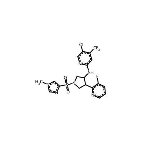 Cn1cnc(S(=O)(=O)N2CC(Nc3cc(C(F)(F)F)c(Cl)cn3)C(c3ncccc3F)C2)c1